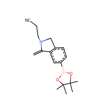 C=C1c2cc(B3OC(C)(C)C(C)(C)O3)ccc2CN1CCC#N